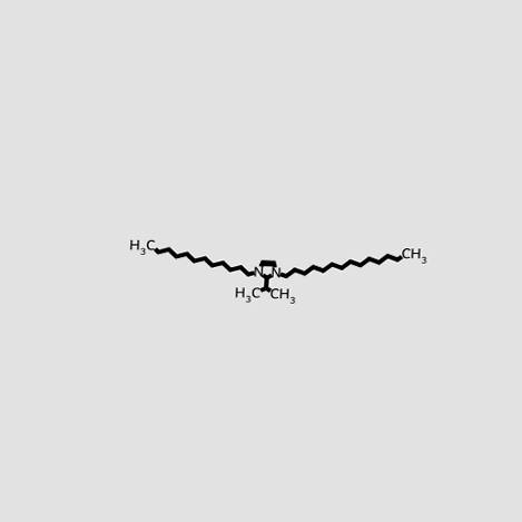 CCCCCCCCCCCCCCN1C=CN(CCCCCCCCCCCC)C1C(C)C